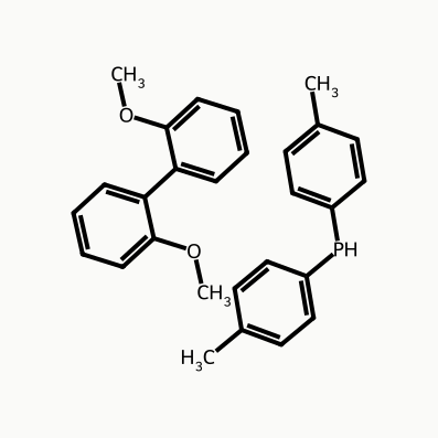 COc1ccccc1-c1ccccc1OC.Cc1ccc(Pc2ccc(C)cc2)cc1